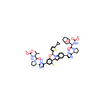 COC(=O)NC(C(=O)N1CCC[C@H]1c1ncc(-c2ccc3c(c2)cc2n3C(c3ccc(C4CC4)s3)Oc3cc(-c4cnc([C@@H]5CCCN5C(=O)[C@@H](NC(=O)OC)C(C)C)[nH]4)cc(F)c3-2)[nH]1)C1CC2CCC(C1)O2